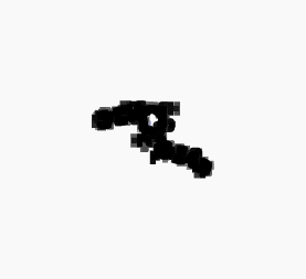 C/C(=C\c1cc(F)cc(N2CCN(C(=O)Cn3cccn3)CC2)c1)[C@H]1OC(=O)C[C@H](O)CC[C@H](C)[C@@H](OC(=O)N2CCN(c3ccncc3)CC2)/C=C/[C@@H]1C